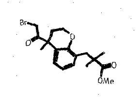 COC(=O)C(C)(C)Cc1cccc2c1OCCC2(C)C(=O)CBr